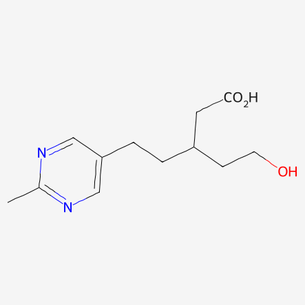 Cc1ncc(CCC(CCO)CC(=O)O)cn1